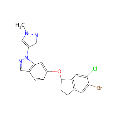 Cn1cc(-n2ncc3ccc(OC4CCc5cc(Br)c(Cl)cc54)cc32)cn1